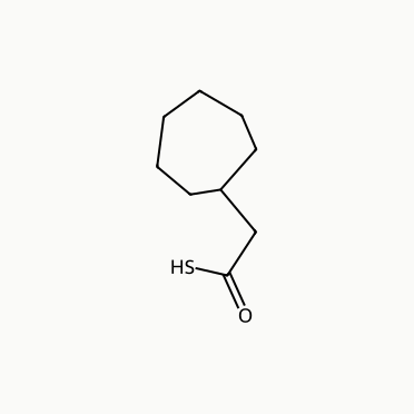 O=C(S)CC1CCCCCC1